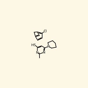 Cc1nc(S)cc(N2CCCCC2)n1.Clc1ccc2cc1C2